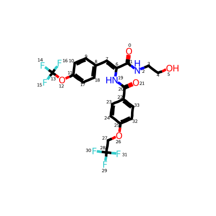 O=C(NCCO)C(=Cc1ccc(OC(F)(F)F)cc1)NC(=O)c1ccc(OCC(F)(F)F)cc1